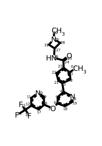 Cc1cc(-c2cc(Oc3cncc(C(F)(F)F)c3)ccn2)ccc1C(=O)NC1CN(C)C1